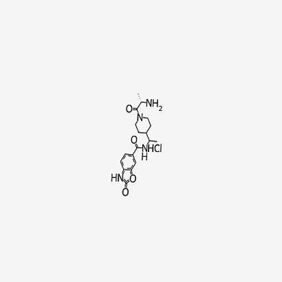 CC(NC(=O)c1ccc2[nH]c(=O)oc2c1)C1CCN(C(=O)[C@H](C)N)CC1.Cl